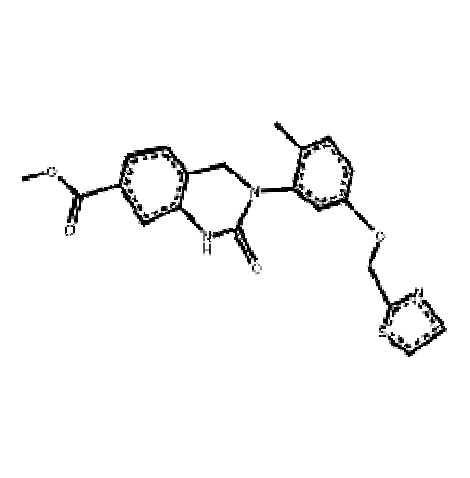 COC(=O)c1ccc2c(c1)NC(=O)N(c1cc(OCc3nccs3)ccc1C)C2